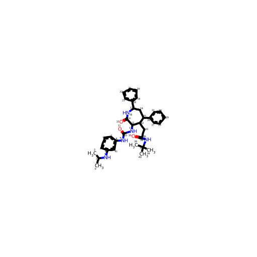 CC(C)Nc1cccc(NC(=O)NC2C(=O)NC(c3ccccc3)CC(c3ccccc3)C2CC(=O)NC(C)(C)C)c1